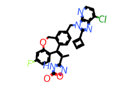 C/C(=C1\c2ccc(Cn3c(C4=CC=C4)nc4c(Cl)ccnc43)cc2COc2cc(F)ccc21)c1noc(=O)[nH]1